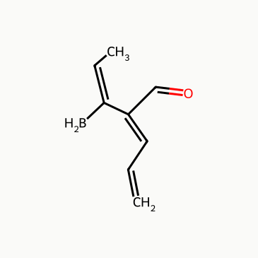 BC(=C/C)/C(C=O)=C\C=C